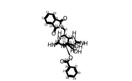 N=C1NC2[C@H](CN3C(=O)c4ccccc4C3=O)NC(=N)N3C[C@H](OC(=O)c4ccccc4)C(O)(O)[C@@]23N1